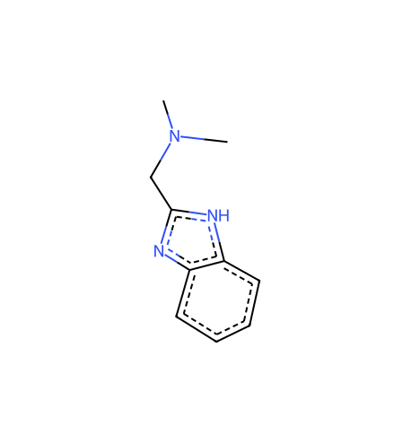 CN(C)Cc1nc2ccccc2[nH]1